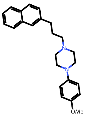 COc1ccc(N2CCN(CCCc3ccc4ccccc4c3)CC2)cc1